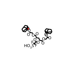 O=C(CCC(OC(=O)C(F)(F)S(=O)(=O)O)C(=O)OCC(=O)OC12CC3CC(C1)C(=O)C(C3)C2)OCC(=O)OC12CC3CC(C1)C(=O)C(C3)C2